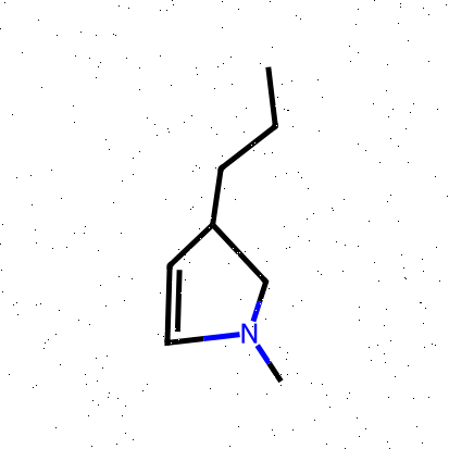 CCCC1C=CN(C)C1